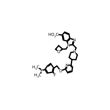 CP(C)c1ccc(COc2cccc(C3CCN(Cc4nc5ccc(C(=O)O)cc5n4CC4CCO4)CC3)n2)c(F)c1